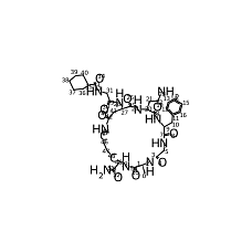 C[C@@H]1NC(=O)CNC(=O)C(Cc2ccccc2)NC(=O)[C@H](CCN)NC(=O)C(NC(=O)CNC(=O)C2CCCCC2)CC(=O)NCCCCC(C(N)=O)NC1=O